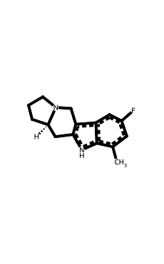 Cc1cc(F)cc2c3c([nH]c12)C[C@H]1CCCN1C3